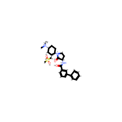 CC(C)N(C)[C@@H]1CC[C@H](N2CC[C@H](NC(=O)c3cccc(-c4ccccc4)c3)C2=O)[C@H](CS(C)(=O)=O)C1